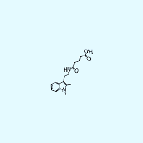 Cc1c(CCNC(=O)CCCC(=O)O)c2ccccc2n1C